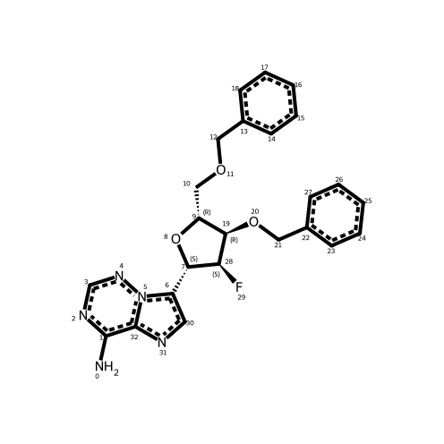 Nc1ncnn2c([C@@H]3O[C@H](COCc4ccccc4)[C@@H](OCc4ccccc4)[C@H]3F)cnc12